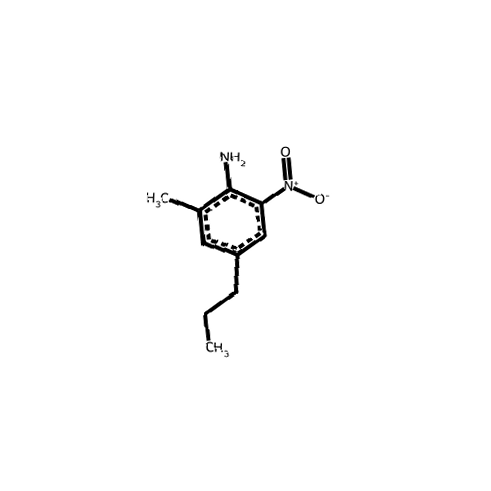 CCCc1cc(C)c(N)c([N+](=O)[O-])c1